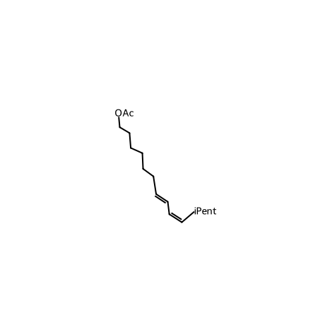 CCCC(C)/C=C\C=C\CCCCCCOC(C)=O